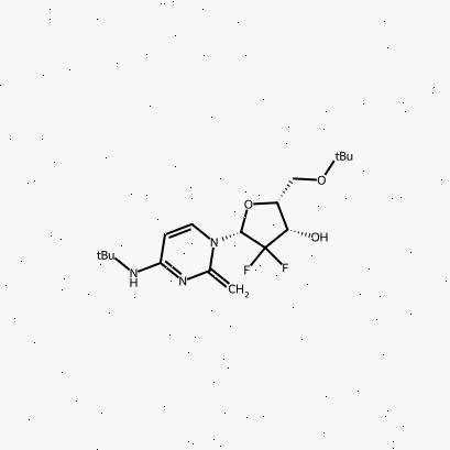 C=C1N=C(NC(C)(C)C)C=CN1[C@@H]1O[C@H](COC(C)(C)C)[C@H](O)C1(F)F